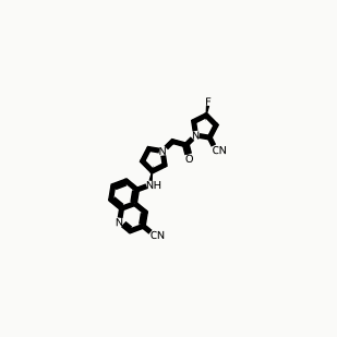 N#Cc1cnc2cccc(N[C@H]3CCN(CC(=O)N4C[C@@H](F)CC4C#N)C3)c2c1